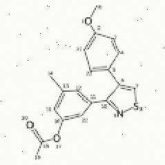 COc1ccc(-c2csnc2-c2cc(C)cc(OC(C)=O)c2)cc1